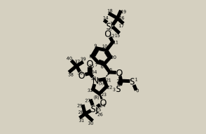 CSC(=S)OC(c1cccc(CO[Si](C)(C)C(C)(C)C)c1)[C@@H]1C[C@@H](O[Si](C)(C)C(C)(C)C)CN1C(=O)OC(C)(C)C